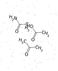 CC(=O)O.CC(C)=O.CC(N)=O